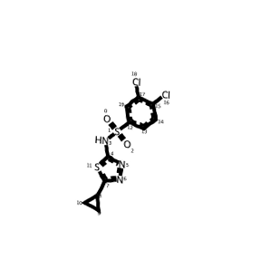 O=S(=O)(Nc1nnc(C2CC2)s1)c1ccc(Cl)c(Cl)c1